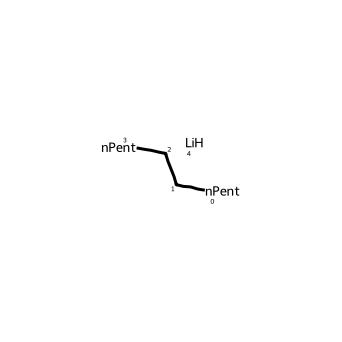 [CH2]CCCCCCCCCCC.[LiH]